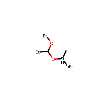 CCC[SiH](C)OC(CC)OCC